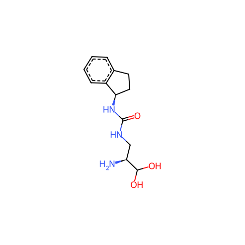 N[C@@H](CNC(=O)N[C@@H]1CCc2ccccc21)C(O)O